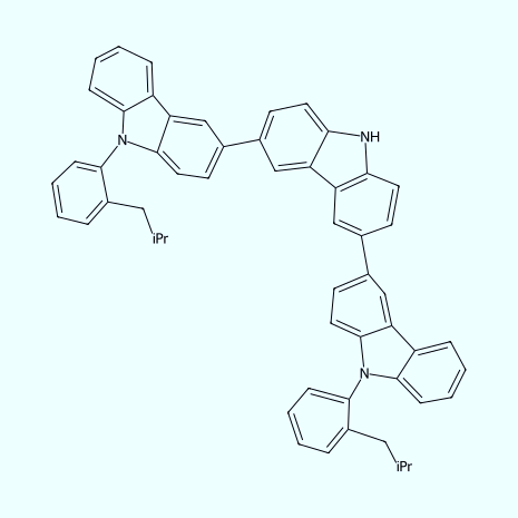 CC(C)Cc1ccccc1-n1c2ccccc2c2cc(-c3ccc4[nH]c5ccc(-c6ccc7c(c6)c6ccccc6n7-c6ccccc6CC(C)C)cc5c4c3)ccc21